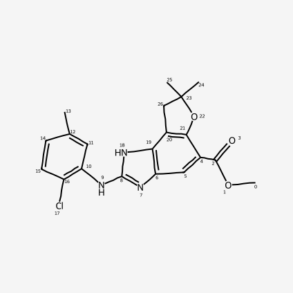 COC(=O)c1cc2nc(Nc3cc(C)ccc3Cl)[nH]c2c2c1OC(C)(C)C2